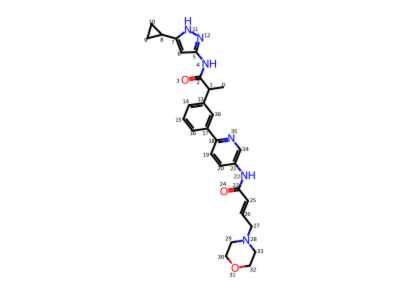 CC(C(=O)Nc1cc(C2CC2)[nH]n1)c1cccc(-c2ccc(NC(=O)/C=C/CN3CCOCC3)cn2)c1